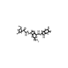 CCn1nc(C)cc1C(=O)NCCn1cnc2c(NCc3nc4cc(F)c(F)cc4[nH]3)nc(N)nc21